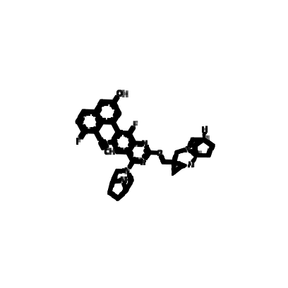 C#Cc1c(F)ccc2cc(O)cc(-c3c(C(C)C)cc4c(N5CC6CCC(C5)N6)nc(OCC5(CN6C[C@@H]7CC[C@H]6C7)CC5)nc4c3F)c12